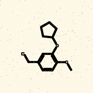 COc1ccc(CCl)cc1OC1CCCC1